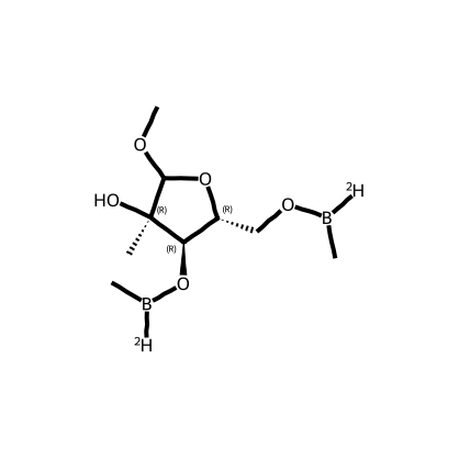 [2H]B(C)OC[C@H]1OC(OC)[C@](C)(O)[C@@H]1OB([2H])C